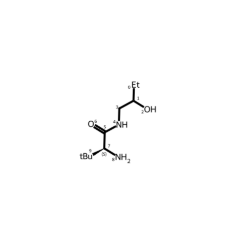 CCC(O)CNC(=O)[C@@H](N)C(C)(C)C